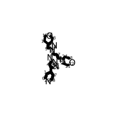 c1cc(-c2cc3nc(-n4cc5c(n4)COCC5)cc(N4CCOCC4)n3n2)ccn1